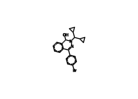 OC1c2ccccc2C(c2ccc(Br)cc2)=NN1C(C1CC1)C1CC1